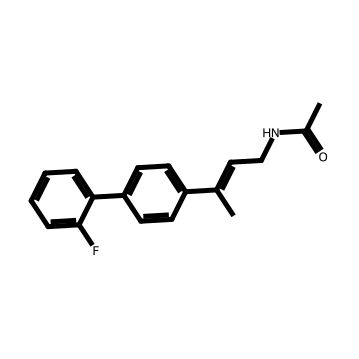 CC(=O)NCC=C(C)c1ccc(-c2ccccc2F)cc1